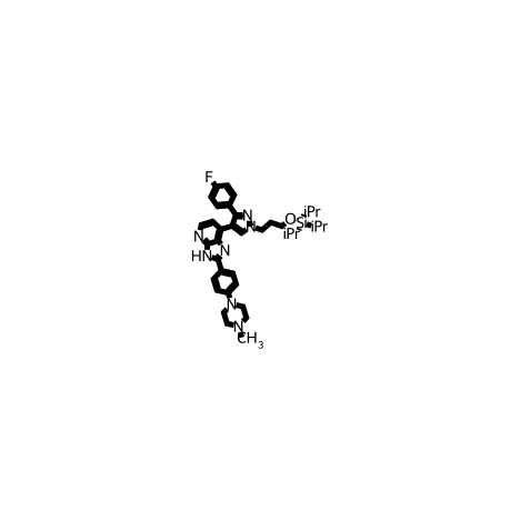 CC(C)[Si](OCCCn1cc(-c2ccnc3[nH]c(-c4ccc(N5CCN(C)CC5)cc4)nc23)c(-c2ccc(F)cc2)n1)(C(C)C)C(C)C